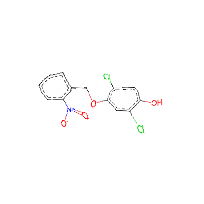 O=[N+]([O-])c1ccccc1COc1cc(Cl)c(O)cc1Cl